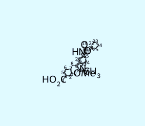 COc1cc(C(=O)O)ccc1Cc1cn(C)c2ccc(NC(=O)OC3CCCC3)cc12